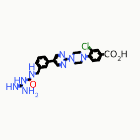 N=C(N)NC(=O)NCc1cccc(-c2cnc(N3CCN(c4ccc(C(=O)O)cc4Cl)CC3)nc2)c1